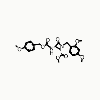 COC(=O)[C@@H]1[C@H](NC(=O)OCc2ccc(OC)cc2)C(=O)N1Cc1ccc(OC)cc1OC